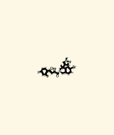 Cn1cc(C2(C)CN(C(=O)c3cc(-c4ccc(F)cc4F)on3)Cc3ccc(Br)cc32)cn1